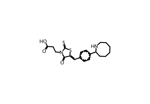 O=C(O)CCN1C(=O)C(=Cc2ccc(C3CCCCCCN3)cc2)SC1=S